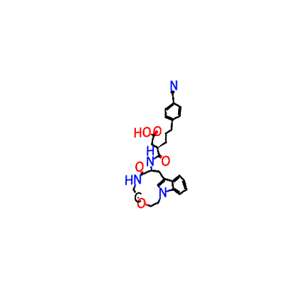 N#Cc1ccc(CCC[C@H](CC(=O)O)C(=O)N[C@H]2Cc3cn(c4ccccc34)CCOCCNC2=O)cc1